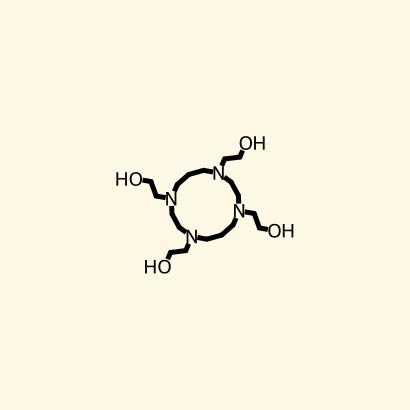 OCCN1CCCN(CCO)CCN(CCO)CCCN(CCO)CC1